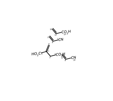 C=C(CC(=O)O)C(=O)O.C=CC#N.C=CC#N.C=CC(=O)O